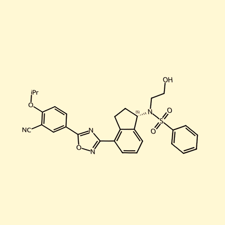 CC(C)Oc1ccc(-c2nc(-c3cccc4c3CC[C@@H]4N(CCO)S(=O)(=O)c3ccccc3)no2)cc1C#N